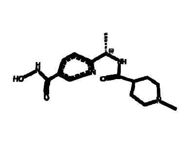 C[C@H](NC(=O)C1CCN(C)CC1)c1ccc(C(=O)NO)cn1